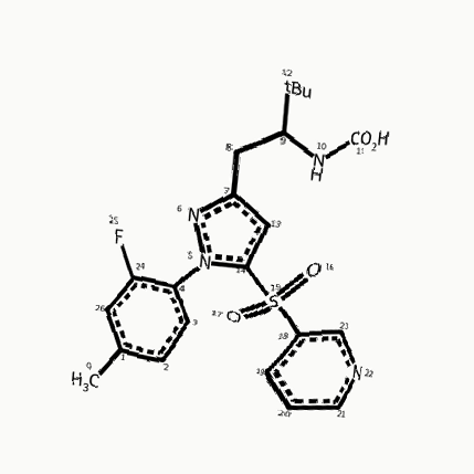 Cc1ccc(-n2nc(CC(NC(=O)O)C(C)(C)C)cc2S(=O)(=O)c2cccnc2)c(F)c1